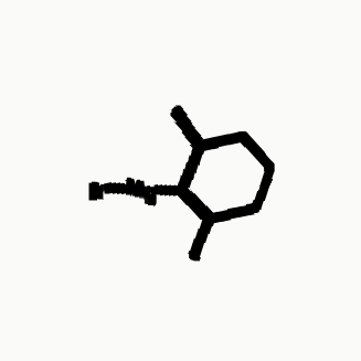 CC1CCCC(C)[CH]1[Mg][Br]